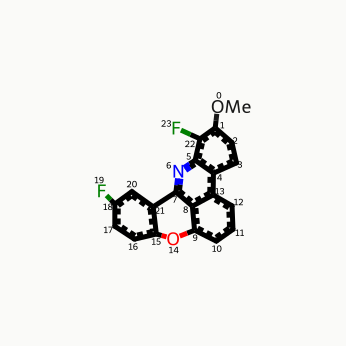 COc1ccc2c(nc3c4c(cccc42)Oc2ccc(F)cc2-3)c1F